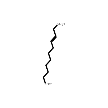 CCCCCCCCCCCCCCC=CCS(=O)(=O)O